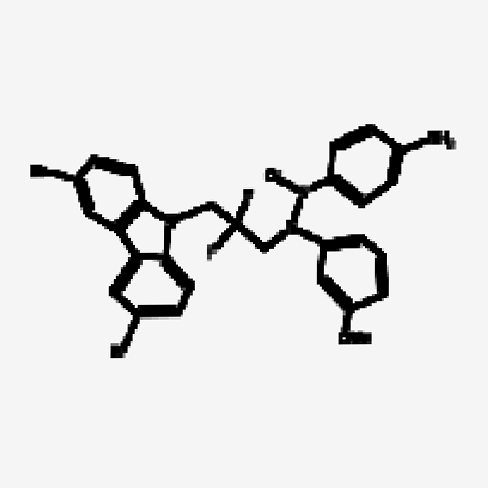 COc1cccc(N(CC(F)(F)Cn2c3ccc(Br)cc3c3cc(Br)ccc32)[S+]([O-])c2ccc(N)cc2)c1